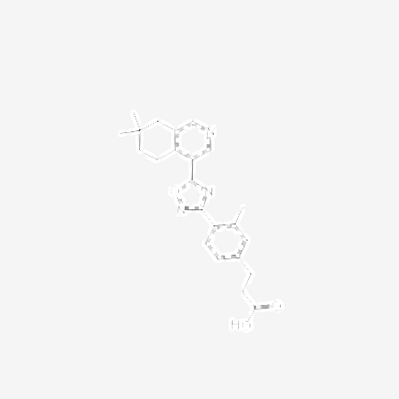 Cc1cc(CCC(=O)O)ccc1-c1noc(-c2cncc3c2CCC(C)(C)C3)n1